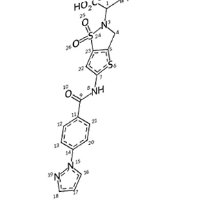 CC(C)C(C(=O)O)N1Cc2sc(NC(=O)c3ccc(-n4cccn4)cc3)cc2S1(=O)=O